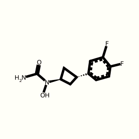 NC(=O)N(O)[C@H]1C[C@H](c2ccc(F)c(F)c2)C1